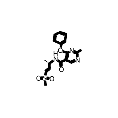 Cc1ncc(C(=O)N[C@@H](C)/C=C/S(C)(=O)=O)c(Oc2ccccc2)n1